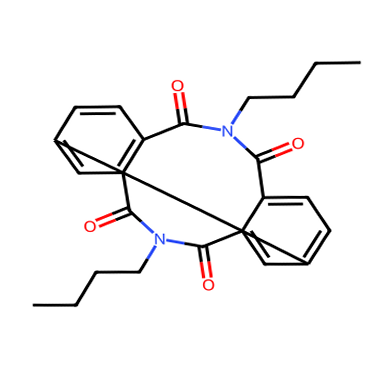 CCCCN1C(=O)c2ccc3cc2C(=O)N(CCCC)C(=O)c2cc-3ccc2C1=O